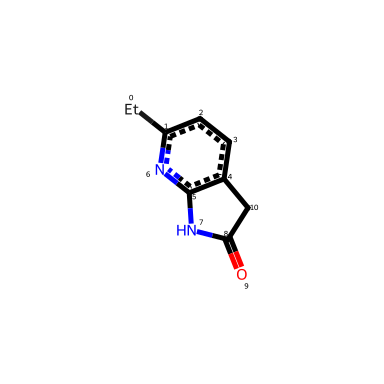 CCc1ccc2c(n1)NC(=O)C2